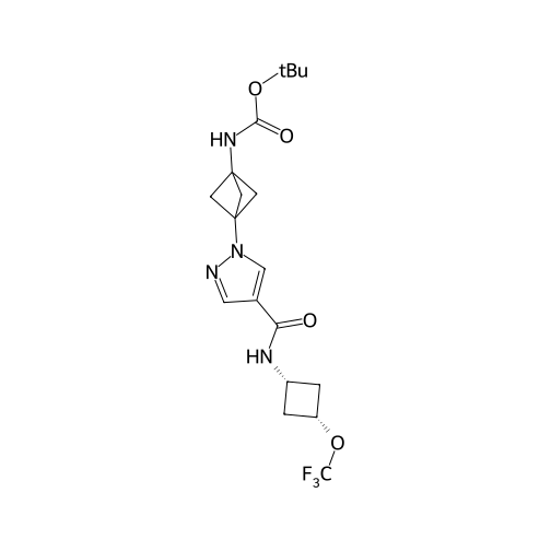 CC(C)(C)OC(=O)NC12CC(n3cc(C(=O)N[C@H]4C[C@@H](OC(F)(F)F)C4)cn3)(C1)C2